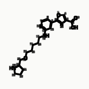 O=C(O)c1coc(-c2ccnc(NCCCCCOCC3CCCN3)c2)n1